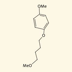 COCCCCOc1ccc(OC)cc1